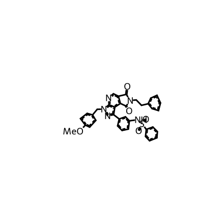 COc1ccc(Cn2nc(-c3cccc(NS(=O)(=O)c4ccccc4)c3)c3c4c(cnc32)C(=O)N(CCc2ccccc2)C4=O)cc1